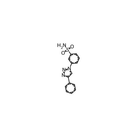 NS(=O)(=O)c1cccc(-n2cc(-c3ccccc3)nn2)c1